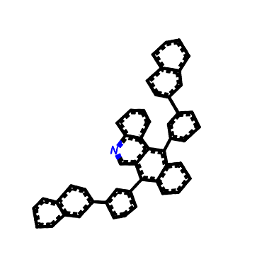 c1cc(-c2ccc3ccccc3c2)cc(-c2c3ccccc3c(-c3cccc(-c4ccc5ccccc5c4)c3)c3c2cnc2ccccc23)c1